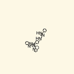 c1ccc(-c2nc(CNCc3ccc(CN(Cc4nc5ccccc5[nH]4)C4CCCc5cccnc54)cc3)c[nH]2)cc1